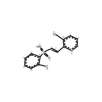 N=S(=O)(/C=C/c1ncccc1Cl)c1ccccc1Cl